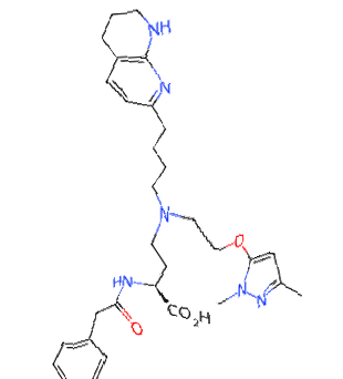 Cc1cc(OCCN(CCCCc2ccc3c(n2)NCCC3)CC[C@H](NC(=O)Cc2ccccc2)C(=O)O)n(C)n1